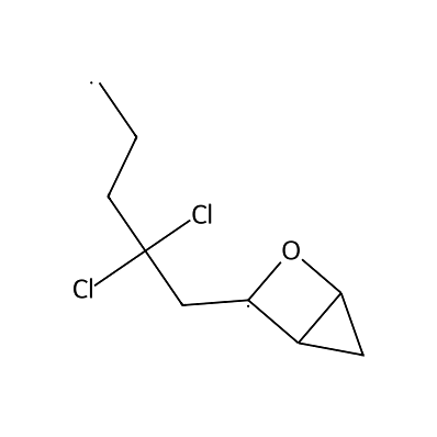 [CH2]CCC(Cl)(Cl)C[C]1OC2CC12